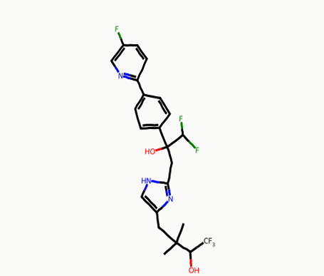 CC(C)(Cc1c[nH]c(CC(O)(c2ccc(-c3ccc(F)cn3)cc2)C(F)F)n1)C(O)C(F)(F)F